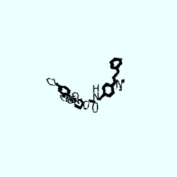 CN(C)C(CCc1ccccc1)C1CCC(CNC(=O)COC2CCN(S(=O)(=O)c3ccc(Cl)cc3Cl)C2)CC1